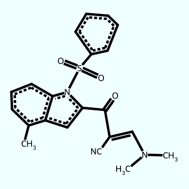 Cc1cccc2c1cc(C(=O)/C(C#N)=C/N(C)C)n2S(=O)(=O)c1ccccc1